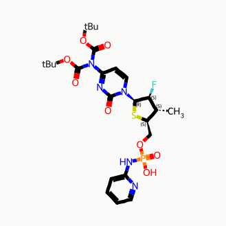 C[C@H]1[C@H](F)[C@H](n2ccc(N(C(=O)OC(C)(C)C)C(=O)OC(C)(C)C)nc2=O)S[C@@H]1COP(=O)(O)Nc1ccccn1